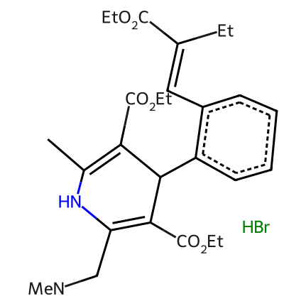 Br.CCOC(=O)C(=Cc1ccccc1C1C(C(=O)OCC)=C(C)NC(CNC)=C1C(=O)OCC)CC